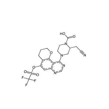 N#CCC1CN(c2ncnc3cc(OS(=O)(=O)C(F)(F)F)c4c(c23)OCCC4)CCN1C(=O)O